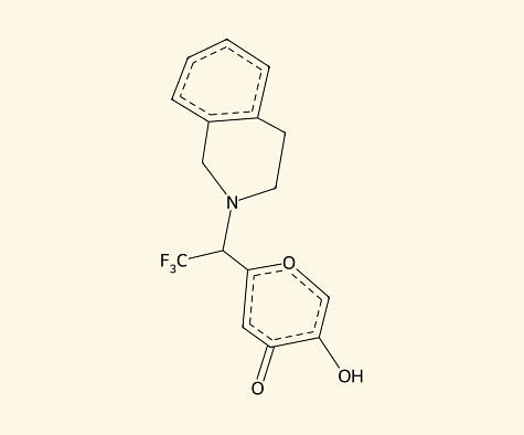 O=c1cc(C(N2CCc3ccccc3C2)C(F)(F)F)occ1O